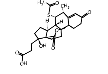 CC(=O)S[C@H]1[C@@H]2C3CC[C@@]4(C(=O)OC[C@@]35CCC(=O)C=C5[C@H]1C)[C@H]2CC[C@@]4(O)CCC(=O)O